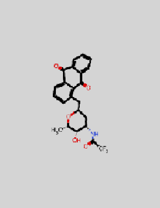 C[C@@H]1O[C@@H](Cc2cccc3c2C(=O)c2ccccc2C3=O)C[C@H](NC(=O)C(F)(F)F)[C@@H]1O